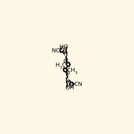 Cc1c(OCCCN(CCCO)Cc2cncc(C#N)c2)cccc1-c1cccc(OCCCN(CCCO)Cc2cncc(C#N)c2)c1C